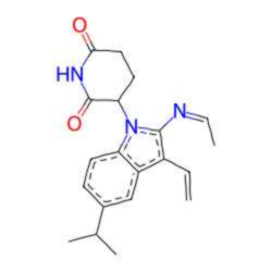 C=Cc1c(/N=C\C)n(C2CCC(=O)NC2=O)c2ccc(C(C)C)cc12